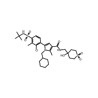 Cc1c(S(=O)(=O)NC(C)(C)C)ccc(-c2cc(C(=O)NCC3(O)CCS(=O)(=O)CC3)c(C)n2CC2CCCCC2)c1Cl